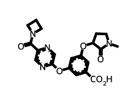 CN1CCC(Oc2cc(Oc3cnc(C(=O)N4CCC4)cn3)cc(C(=O)O)c2)C1=O